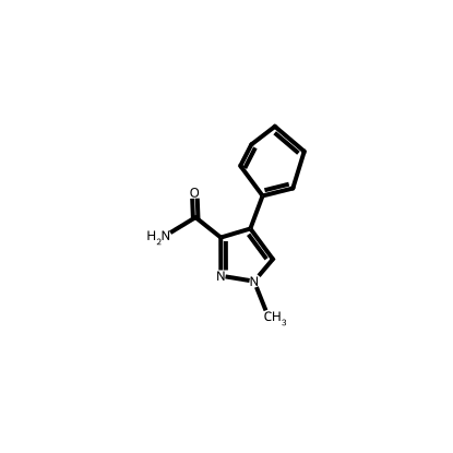 Cn1cc(-c2ccccc2)c(C(N)=O)n1